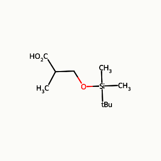 CC(CO[Si](C)(C)C(C)(C)C)C(=O)O